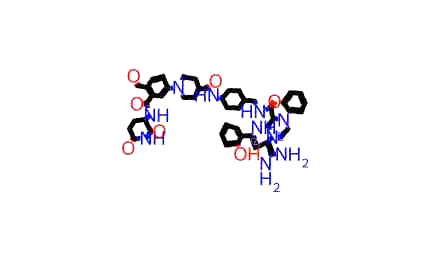 NC(N)=C(/C=C(\N)c1ccccc1O)N1CCN(c2ccccc2)C(C(=O)NCC2CCC(NC(=O)C3CCN(c4ccc(C=O)c(C(=O)NC5CCC(=O)NC5=O)c4)CC3)CC2)C1